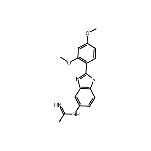 COc1ccc(-c2nc3cc(NC(C)=N)ccc3s2)c(OC)c1